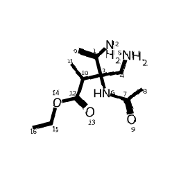 C=C(N)C(CN)(NC(C)=O)C(C)C(=O)OCC